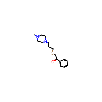 CN1CCN(CCCSCC(=O)c2ccccc2)CC1